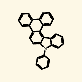 c1ccc(-n2c3ccccc3c3c4c5ccccc5c5ccccc5c4ccc32)cc1